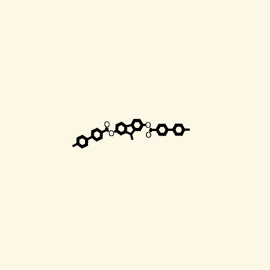 Cc1ccc(-c2ccc(C(=O)Oc3ccc4c(c3)C(C)c3cc(OC(=O)c5ccc(-c6ccc(C)cc6)cc5)ccc3-4)cc2)cc1